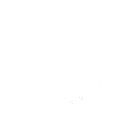 CC(=O)C(c1ccc(Sc2ccc(C)cc2)nn1)c1ccc(Cl)cc1Cl